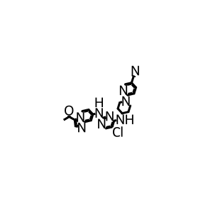 CC(=O)c1cnc2cc(Nc3ncc(Cl)c(NC4CCN(c5ccc(C#N)cn5)CC4)n3)ccn12